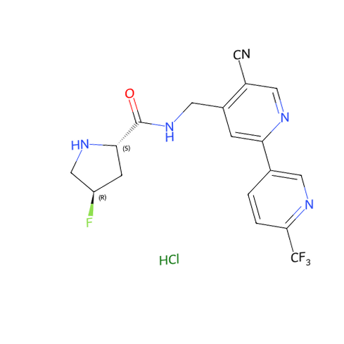 Cl.N#Cc1cnc(-c2ccc(C(F)(F)F)nc2)cc1CNC(=O)[C@@H]1C[C@@H](F)CN1